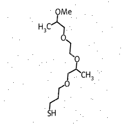 COC(C)COCCOC(C)COCCCS